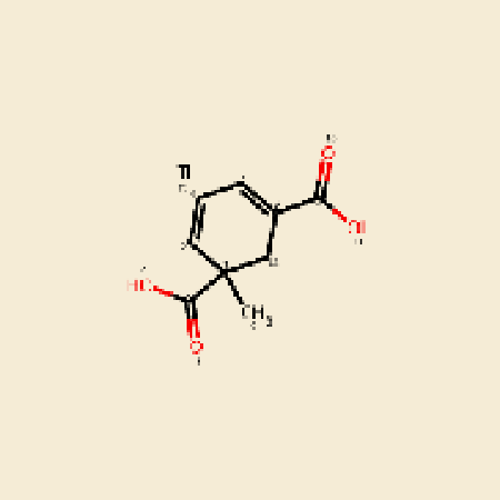 CC1(C(=O)O)C=CC=C(C(=O)O)C1.[Ti]